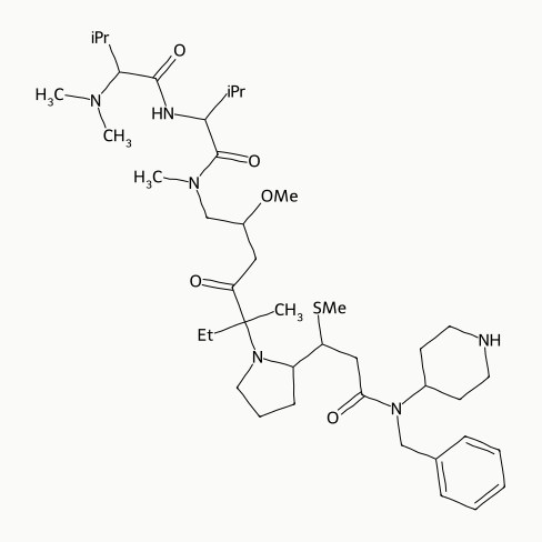 CCC(C)(C(=O)CC(CN(C)C(=O)C(NC(=O)C(C(C)C)N(C)C)C(C)C)OC)N1CCCC1C(CC(=O)N(Cc1ccccc1)C1CCNCC1)SC